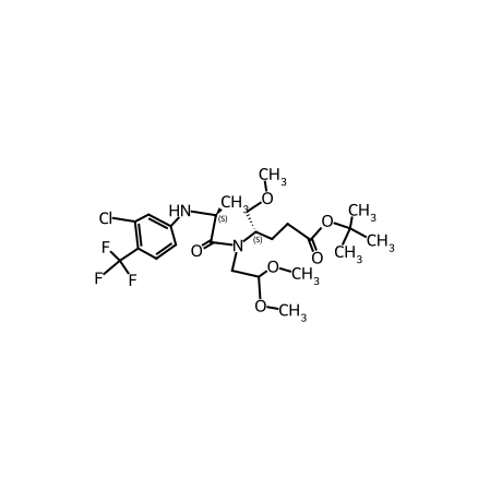 COC[C@H](CCC(=O)OC(C)(C)C)N(CC(OC)OC)C(=O)[C@H](C)Nc1ccc(C(F)(F)F)c(Cl)c1